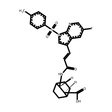 Cc1ccc(S(=O)(=O)n2cc(/C=C/C(=O)N[C@H]3C4CCC(CC4)[C@@H]3C(=O)O)c3cc(F)cnc32)cc1